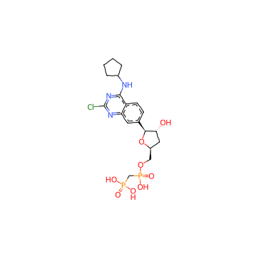 O=P(O)(O)CP(=O)(O)OC[C@@H]1C[C@@H](O)[C@H](c2ccc3c(NC4CCCC4)nc(Cl)nc3c2)O1